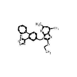 CCOc1nc2c(C)cc(C)nc2n1Cc1ccc(-c2ccccc2)c(-c2nnn[nH]2)c1